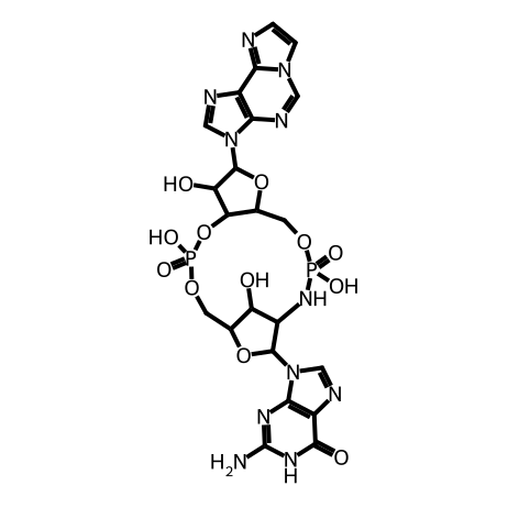 Nc1nc2c(ncn2C2OC3COP(=O)(O)OC4C(COP(=O)(O)NC2C3O)OC(n2cnc3c2ncn2ccnc32)C4O)c(=O)[nH]1